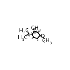 CO[C@@H]1CC[C@@H](C(C)C)[C@H](C)C1